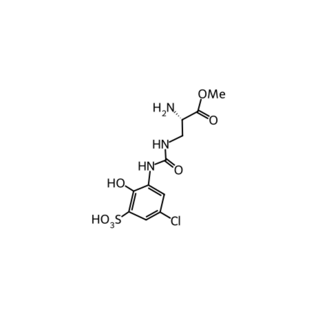 COC(=O)[C@@H](N)CNC(=O)Nc1cc(Cl)cc(S(=O)(=O)O)c1O